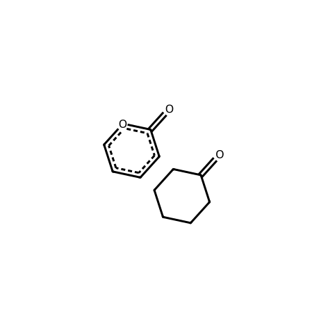 O=C1CCCCC1.O=c1cccco1